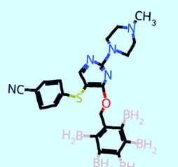 Bc1c(B)c(B)c(COc2nc(N3CCN(C)CC3)ncc2Sc2ccc(C#N)cc2)c(B)c1B